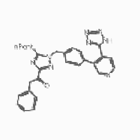 CCCCCc1nc(C(=O)Cc2ccccc2)nn1Cc1ccc(-c2cnccc2-c2nnn[nH]2)cc1